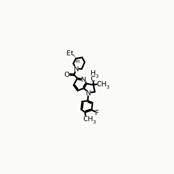 CC[C@@H]1CCCN(C(=O)c2ccc3c(n2)C(C)(C)CN3c2ccc(C)c(F)c2)C1